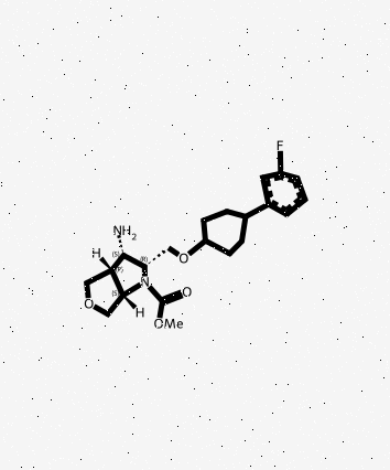 COC(=O)N1[C@@H]2COC[C@@H]2[C@H](N)[C@@H]1COC1CCC(c2cccc(F)c2)CC1